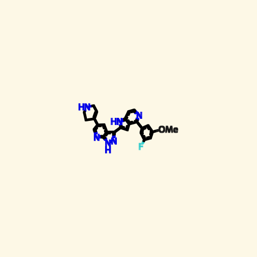 COc1cc(F)cc(-c2nccc3[nH]c(-c4n[nH]c5ncc(C6=CCNCC6)cc45)cc23)c1